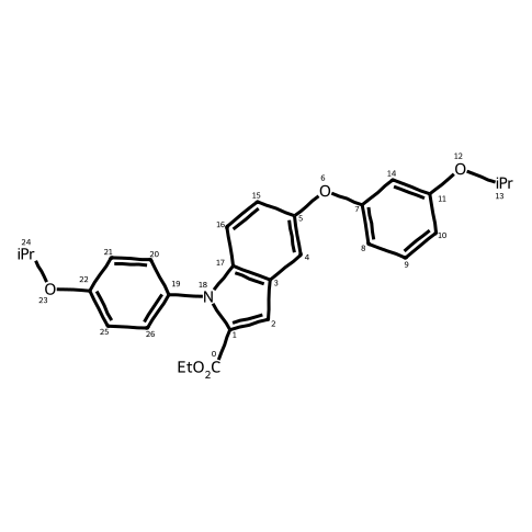 CCOC(=O)c1cc2cc(Oc3cccc(OC(C)C)c3)ccc2n1-c1ccc(OC(C)C)cc1